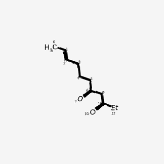 C/C=C/CCCC(=O)CC(=O)CC